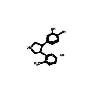 Br.Cc1ccccc1C1CNCC1c1ccc(O)c(O)c1